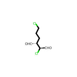 O=C[C@@H](Cl)[C@H](C=O)CCCCl